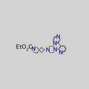 CCOC(=O)N1CC[C@]2(C1)C[C@@H](N1CCN(c3ncccc3-c3cnccn3)CC1)C2